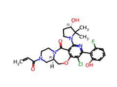 C=CC(=O)N1CCN2C(=O)c3c(N4CC[C@H](O)C4(C)C)nc(-c4c(O)cccc4F)c(Cl)c3OC[C@H]2C1